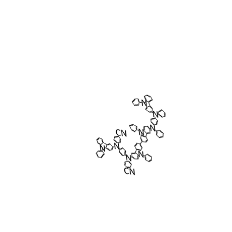 N#Cc1ccc(N(c2ccc(N(c3ccc(C#N)cc3)c3ccc4c(c3)c3ccc(-c5ccc6c7cc(N(c8ccccc8)c8ccc(N(c9ccccc9)c9ccc%10c(c9)c9ccccc9n%10-c9ccccc9)cc8)ccc7n(-c7ccccc7)c6c5)cc3n4-c3ccccc3)cc2)c2ccc3c(c2)c2ccccc2n3-c2ccccc2)cc1